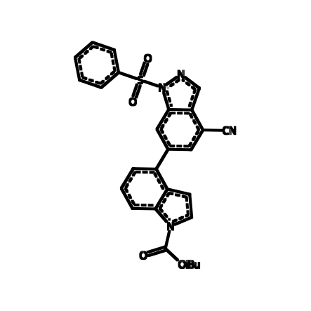 CC(C)COC(=O)n1ccc2c(-c3cc(C#N)c4cnn(S(=O)(=O)c5ccccc5)c4c3)cccc21